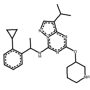 CC(C)c1cnn2c(NC(C)c3ccccc3C3CC3)nc(OC3CCCNC3)nc12